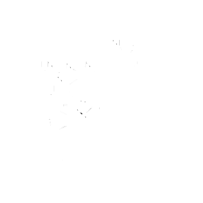 CCCc1ccc([C@@H](Oc2cc(N3CCC4(CC3)CN[C@H](C(=O)OC(C)(C)C)C4)nc(N)n2)C(F)(F)F)c(-n2ccc(C)n2)c1